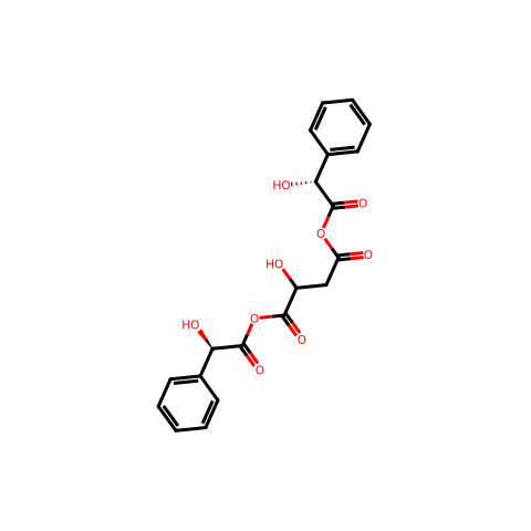 O=C(CC(O)C(=O)OC(=O)[C@H](O)c1ccccc1)OC(=O)[C@H](O)c1ccccc1